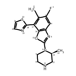 Cc1c(F)cc2nc(N3CCNC[C@@H]3C)oc2c1-c1nccs1